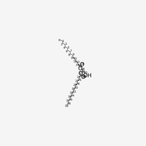 CCCCCCCCCCCCCCCC(=O)OCC(CO)OC(=O)CCCCCCCCCCCCCCC